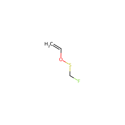 C=COSCF